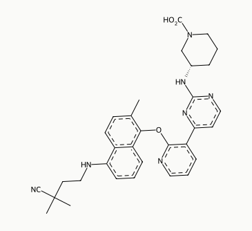 Cc1ccc2c(NCCC(C)(C)C#N)cccc2c1Oc1ncccc1-c1ccnc(N[C@H]2CCCN(C(=O)O)C2)n1